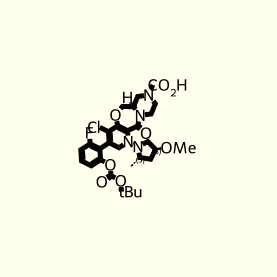 CO[C@H]1C[C@H](C)N(N2CC(c3c(F)cccc3OC(=O)OC(C)(C)C)=C(Cl)C3=C2C(=O)N2CCN(C(=O)O)C[C@@H]2CO3)C1